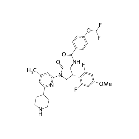 COc1cc(F)c([C@@H]2CN(c3cc(C)cc(C4CCNCC4)n3)C(=O)[C@H]2NC(=O)c2ccc(OC(F)F)cc2)c(F)c1